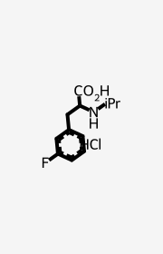 CC(C)NC(Cc1cccc(F)c1)C(=O)O.Cl